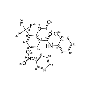 O=COc1c(C(=O)Nc2ccccc2Cl)cccc1C(F)(F)F.O=[N+]([O-])c1ccccc1